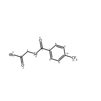 CC(C)(C)C(=O)C[Se]C(=O)c1ccc(C(F)(F)F)cc1